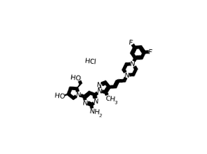 Cc1c(C=CCN2CCN(c3cc(F)cc(F)c3)CC2)cnn1-c1cc(N2C[C@@H](O)C[C@H]2CO)nc(N)n1.Cl